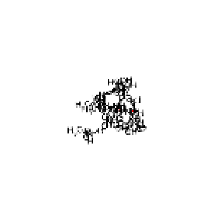 CCCS(=O)(=O)NCCCOc1ccc(NC(=O)NC(=O)C[C@@H]2NC(=O)[C@H](NC(=O)[C@@H](CC(C)C)NC)[C@H](O)c3ccc4c(c3)C(N)[C@H]3O[C@@H](Oc5c6cc(cc5O4)[C@@H](NC2=O)C(=O)N[C@H]2C(=O)N[C@H](C(=O)N[C@H](C(=O)NC4C5CC7CC(C5)CC4C7)c4cc(O)cc5c4-c4cc2ccc4C5(O)O)[C@H](O)c2ccc(c(Cl)c2)O6)[C@H](O)[C@@H](O)[C@@H]3O)cc1